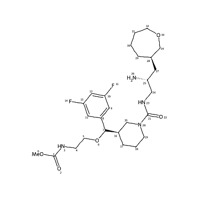 COC(=O)NCCOC(c1cc(F)cc(F)c1)[C@@H]1CCCN(C(=O)NC[C@H](N)C[C@H]2CCCCOC2)C1